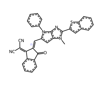 Cn1c(-c2cc3ccccc3s2)nc2c1cc(/C=C1\C(=O)c3ccccc3C1=C(C#N)C#N)n2-c1ccccc1